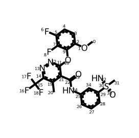 COc1ccc(F)c(F)c1Oc1nnc(C(F)(F)F)c(C)c1C(=O)Nc1cccc(S(C)(=N)=O)c1